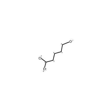 CCC(Cl)CCCC[O]